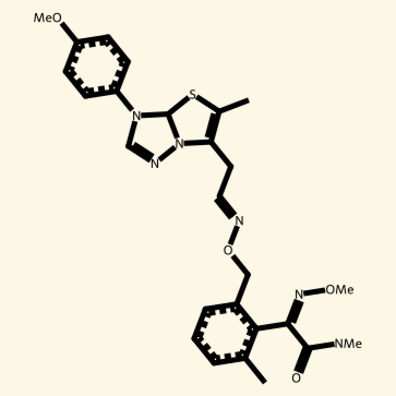 CNC(=O)C(=NOC)c1c(C)cccc1CON=CCC1=C(C)SC2N1N=CN2c1ccc(OC)cc1